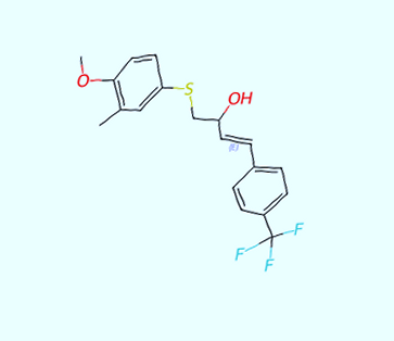 COc1ccc(SCC(O)/C=C/c2ccc(C(F)(F)F)cc2)cc1C